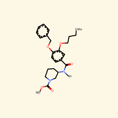 COCCCOc1cc(C(=O)N(C(C)C)[C@@H]2CCCN(C(=O)OC(C)(C)C)C2)ccc1OCc1ccccc1